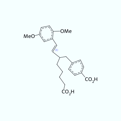 COc1ccc(OC)c(/C=C/C(CCCCC(=O)O)Cc2ccc(C(=O)O)cc2)c1